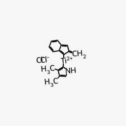 C=C1C=c2ccccc2=[C]1[Ti+2][c]1[nH]cc(C)c1C.[Cl-].[Cl-]